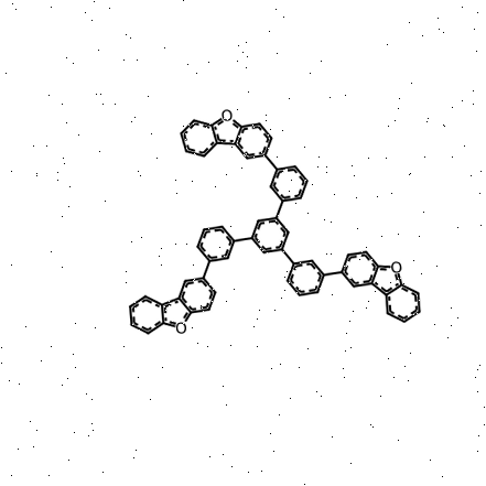 c1cc(-c2cc(-c3cccc(-c4ccc5oc6ccccc6c5c4)c3)cc(-c3cccc(-c4ccc5oc6ccccc6c5c4)c3)c2)cc(-c2ccc3oc4ccccc4c3c2)c1